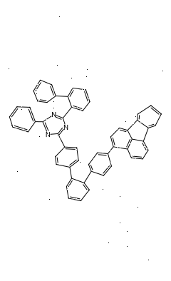 c1ccc(-c2nc(-c3ccc(-c4ccccc4-c4ccc(-c5ccc6c7c(cccc57)-c5ccccc5-6)cc4)cc3)nc(-c3ccccc3-c3ccccc3)n2)cc1